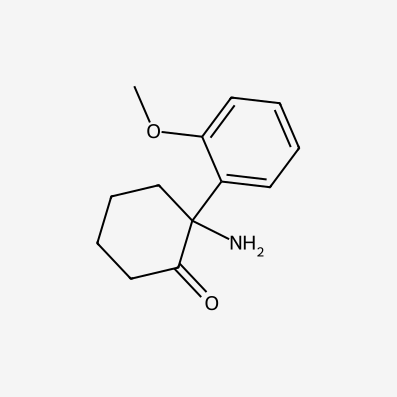 COc1ccccc1C1(N)CCCCC1=O